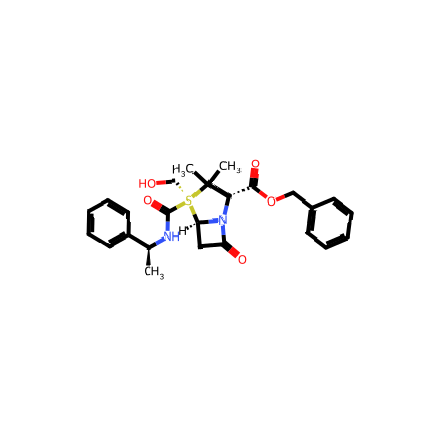 C[C@H](NC(=O)[S@]1(CO)[C@@H]2CC(=O)N2[C@@H](C(=O)OCc2ccccc2)C1(C)C)c1ccccc1